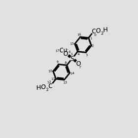 O=C(O)c1ccc(S(=O)(=O)c2ccc(C(=O)O)cc2)cc1.[Cu]